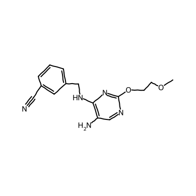 COCCOc1ncc(N)c(NCc2cccc(C#N)c2)n1